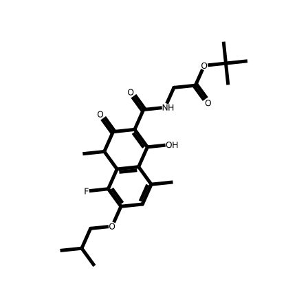 Cc1cc(OCC(C)C)c(F)c2c1C(O)=C(C(=O)NCC(=O)OC(C)(C)C)C(=O)C2C